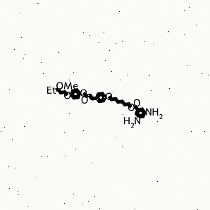 CCC(CCOc1ccc(OC(=O)C=Cc2ccc(OCCCCCCOC(=O)c3cc(N)cc(N)c3)cc2)cc1)OC